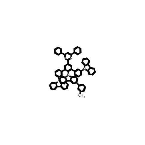 Cc1cccc(-c2ccc3c(c2)c2ccccc2n3-c2c(-c3cccc(-n4c5ccccc5c5ccccc54)c3)cc(-c3nc(-c4ccccc4)cc(-c4ccccc4)n3)cc2-c2cccc(-n3c4ccccc4c4ccccc43)c2)c1